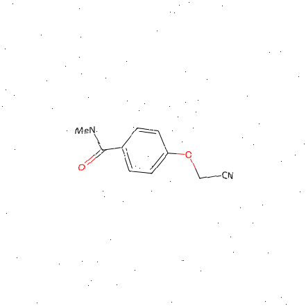 CNC(=O)c1ccc(OCC#N)cc1